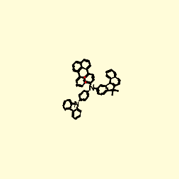 CC1(C)c2ccc(N(c3ccc(-c4cccc5cccc(-c6ccccc6)c45)cc3)c3ccc(-n4c5ccccc5c5ccccc54)cc3)cc2-c2c1ccc1ccccc21